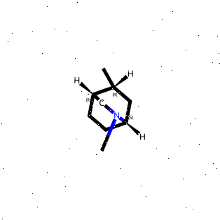 C[C@@H]1C[C@@H]2CC[C@H]1CN2C